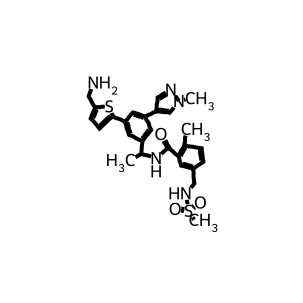 Cc1ccc(CNS(C)(=O)=O)cc1C(=O)NC(C)c1cc(-c2cnn(C)c2)cc(-c2ccc(CN)s2)c1